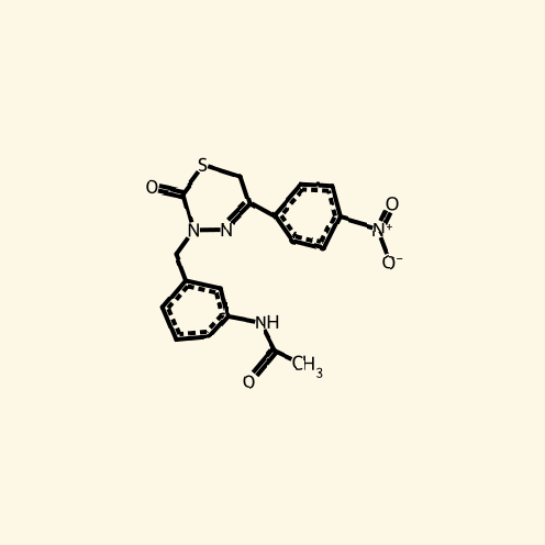 CC(=O)Nc1cccc(CN2N=C(c3ccc([N+](=O)[O-])cc3)CSC2=O)c1